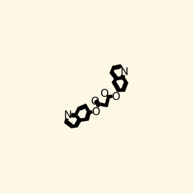 O=C(CC(=O)Oc1ccc2ncccc2c1)Oc1ccc2ncccc2c1